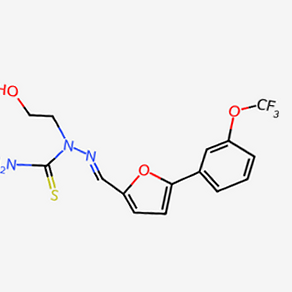 NC(=S)N(CCO)N=Cc1ccc(-c2cccc(OC(F)(F)F)c2)o1